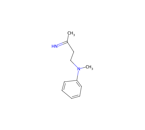 CC(=N)CCN(C)c1ccccc1